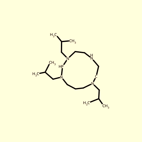 CC(C)CN1CCCN(CC(C)C)PN(CC(C)C)CCNCC1